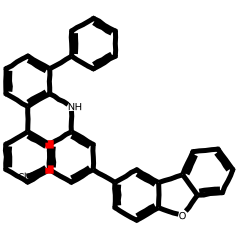 Clc1cc(Nc2c(-c3ccccc3)cccc2-c2ccccc2)cc(-c2ccc3oc4ccccc4c3c2)c1